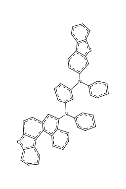 c1ccc(N(c2cccc(N(c3ccccc3)c3cc4ccc5oc6ccccc6c5c4c4ccccc34)c2)c2ccc3c(c2)sc2ccccc23)cc1